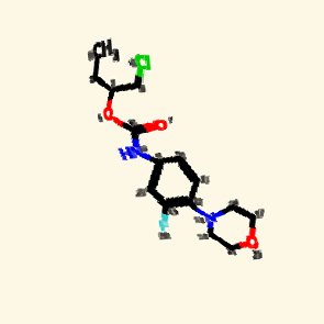 CC[C@@H](CCl)OC(=O)Nc1ccc(N2CCOCC2)c(F)c1